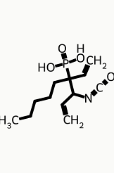 C=CC(N=C=O)C(C=C)(CCCCC)P(=O)(O)O